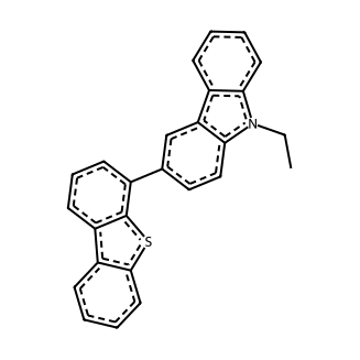 CCn1c2ccccc2c2cc(-c3cccc4c3sc3ccccc34)ccc21